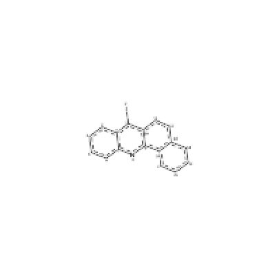 Ic1c2ccccc2nc2c1ccc1ccccc12